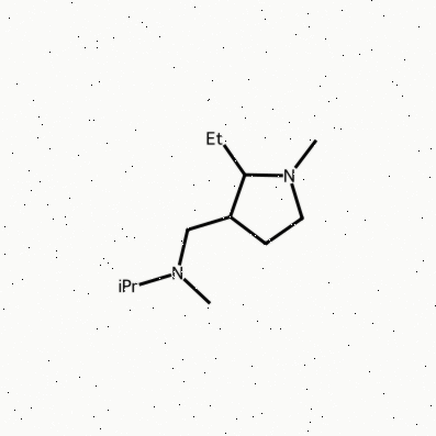 CCC1C(CN(C)C(C)C)CCN1C